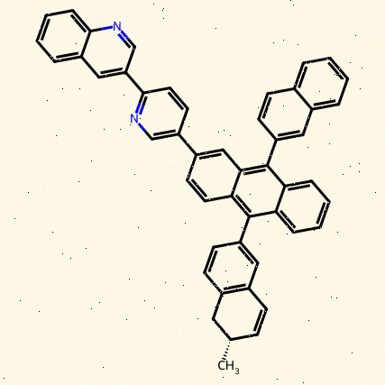 C[C@H]1C=Cc2cc(-c3c4ccccc4c(-c4ccc5ccccc5c4)c4cc(-c5ccc(-c6cnc7ccccc7c6)nc5)ccc34)ccc2C1